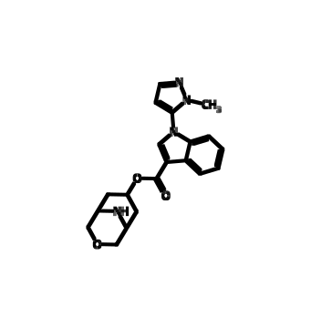 Cn1nccc1-n1cc(C(=O)OC2CC3COCC(C2)N3)c2ccccc21